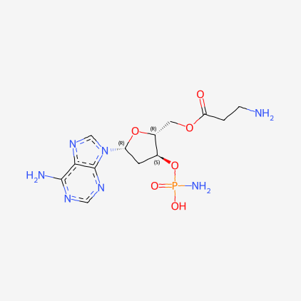 NCCC(=O)OC[C@H]1O[C@@H](n2cnc3c(N)ncnc32)C[C@@H]1OP(N)(=O)O